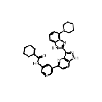 O=C(Nc1cncc(-c2ccc3[nH]nc(-c4nc5c(N6CCCCC6)cccc5[nH]4)c3n2)c1)C1CCCCC1